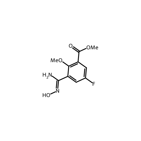 COC(=O)c1cc(F)cc(/C(N)=N/O)c1OC